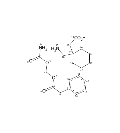 NC(=O)OCOC(=O)Cc1ccccc1.NCC1(CC(=O)O)CCCCC1